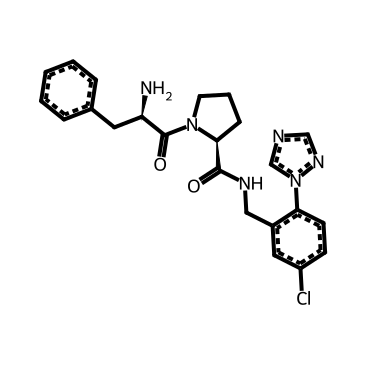 N[C@H](Cc1ccccc1)C(=O)N1CCC[C@H]1C(=O)NCc1cc(Cl)ccc1-n1cncn1